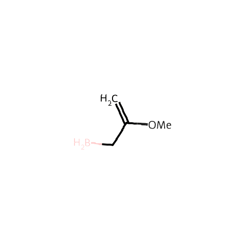 BCC(=C)OC